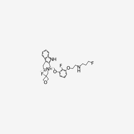 C[C@@H]1Cc2c([nH]c3ccccc23)[C@H](COc2cccc(OCCNCCCF)c2F)N1CC1(F)COC1